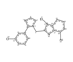 CCn1c(Cn2ccnc2-c2cccc(Cl)c2)nc2c(C(C)=O)cccc21